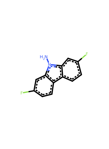 Nn1c2cc(F)ccc2c2ccc(F)cc21